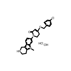 Cl.Cl.Cn1c2c(c3ccc(N4CCC(OCc5ccc(Cl)cc5)=CC4=O)cc31)CNCC2